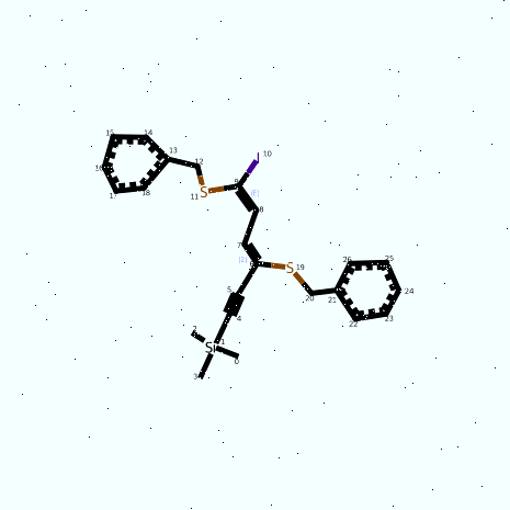 C[Si](C)(C)C#C/C(=C/C=C(/I)SCc1ccccc1)SCc1ccccc1